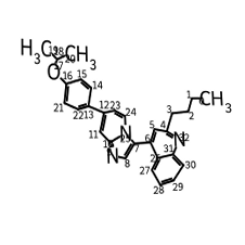 CCCCc1cc(-c2cnc3cc(-c4ccc(OC(C)C)cc4)ccn23)c2ccccc2n1